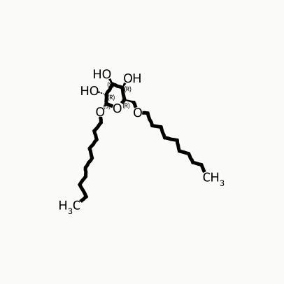 CCCCCCCCCCOC[C@H]1O[C@H](OCCCCCCCCCC)[C@H](O)[C@@H](O)[C@H]1O